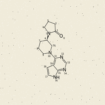 O=C1CCCN1[C@@H]1CCCN(c2ncnc3[nH]ccc23)C1